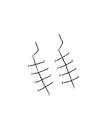 CCOC(F)(F)C(F)(F)C(F)(F)C(F)(F)F.CCOC(F)(F)C(F)(F)C(F)(F)C(F)(F)F